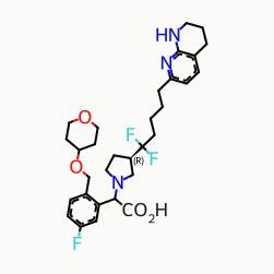 O=C(O)C(c1cc(F)ccc1COC1CCOCC1)N1CC[C@@H](C(F)(F)CCCCc2ccc3c(n2)NCCC3)C1